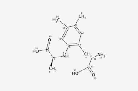 Cc1cc(C)c(N[C@@H](C)C(=O)O)cc1C.NCC(=O)O